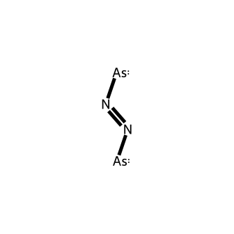 [As]N=N[As]